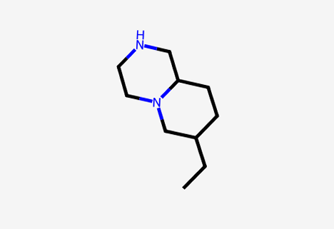 CCC1CCC2CNCCN2C1